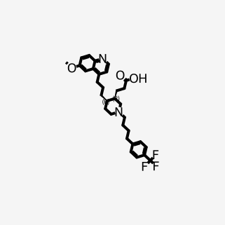 COc1ccc2nccc(CCC[C@@H]3CCN(CCCCc4ccc(C(F)(F)F)cc4)C[C@@H]3CCC(=O)O)c2c1